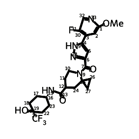 COc1cc(-c2cc(C(=O)N3CCC(C(=O)N[C@H]4CC[C@@](O)(C(F)(F)F)CC4)CC34CC4)n[nH]2)c(F)cn1